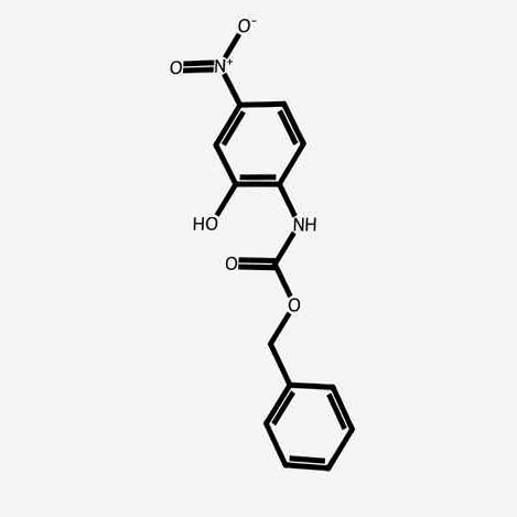 O=C(Nc1ccc([N+](=O)[O-])cc1O)OCc1ccccc1